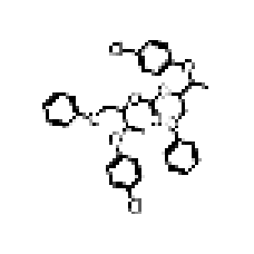 CC(Oc1ccc(Cl)cc1)C(COc1ccccc1)OC(=O)OC(COc1ccccc1)C(C)Oc1ccc(Cl)cc1